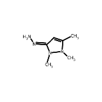 Cc1cc(=NN)n(C)n1C